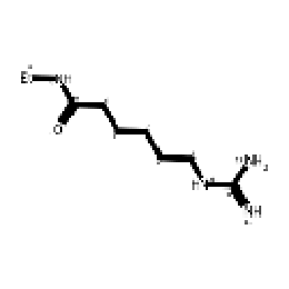 CCNC(=O)CCCC[CH]NC(=N)N